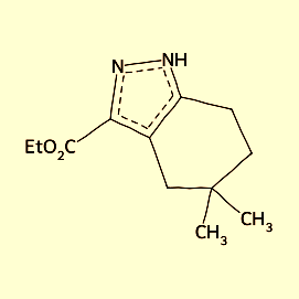 CCOC(=O)c1n[nH]c2c1CC(C)(C)CC2